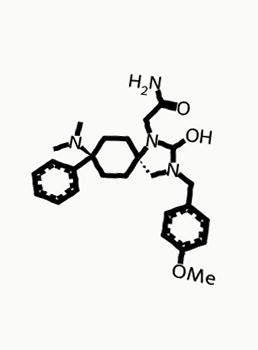 COc1ccc(CN2C[C@]3(CC[C@](c4ccccc4)(N(C)C)CC3)N(CC(N)=O)C2O)cc1